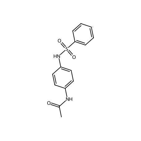 CC(=O)Nc1ccc(NS(=O)(=O)c2cc[c]cc2)cc1